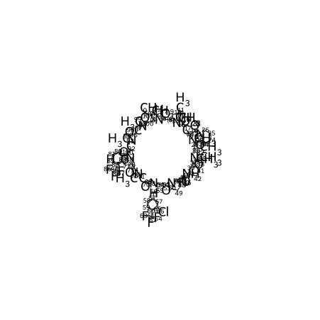 CC[C@H](C)[C@@H]1NC(=O)[C@H](CC(C)C)N(C)C(=O)C[C@@H](C(=O)N2CCCCC2)N(C)C(=O)[C@H](C(C)C)N(C)C(=O)C2(CCCC2)NC(=O)[C@@H]2CCCN2C(=O)[C@H](CCc2ccc(C(F)(F)F)c(Cl)c2)NC(=O)CN(C)C(=O)[C@H](Cc2ccccc2C(F)(F)F)N(C)C(=O)CN(C)C(=O)CN(C)C1=O